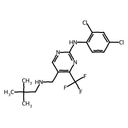 CC(C)(C)CNCc1cnc(Nc2ccc(Cl)cc2Cl)nc1C(F)(F)F